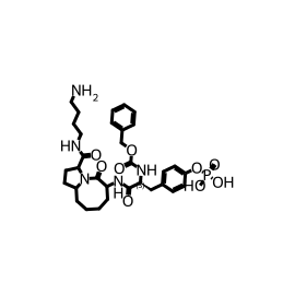 NCCCCNC(=O)C1CCC2CCCCC(NC(=O)[C@H](Cc3ccc(OP(=O)(O)O)cc3)NC(=O)OCc3ccccc3)C(=O)N21